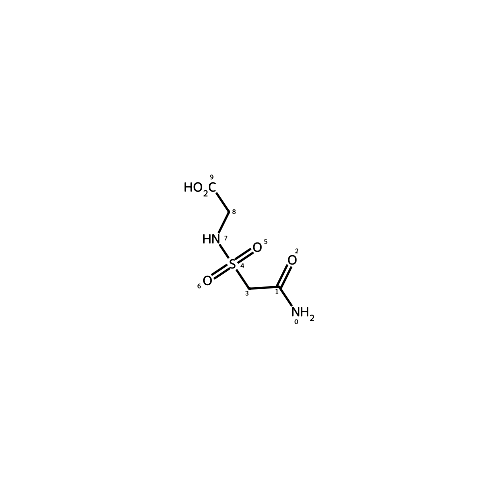 NC(=O)CS(=O)(=O)NCC(=O)O